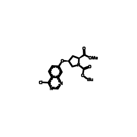 COC(=O)[C@@H]1C[C@H](Oc2ccc3c(Cl)ncnc3c2)CN1C(=O)OC(C)(C)C